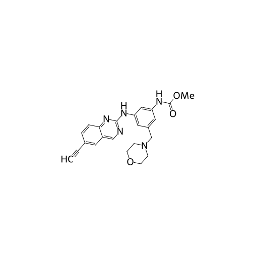 C#Cc1ccc2nc(Nc3cc(CN4CCOCC4)cc(NC(=O)OC)c3)ncc2c1